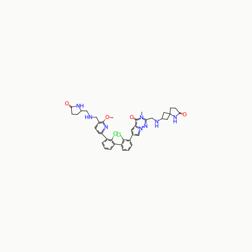 COc1nc(-c2cccc(-c3cccc(-c4cc5c(=O)n(C)c(CNC6CC7(CCC(=O)N7)C6)nn5c4)c3Cl)c2Cl)ccc1CNCC1CCC(=O)N1